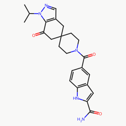 CC(C)n1ncc2c1C(=O)CC1(CCN(C(=O)c3ccc4[nH]c(C(N)=O)cc4c3)CC1)C2